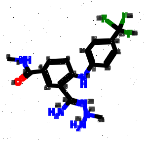 CNC(=O)c1ccc(Nc2ccc(C(F)(F)F)cc2)c(/C(N)=N/N(C)N)c1